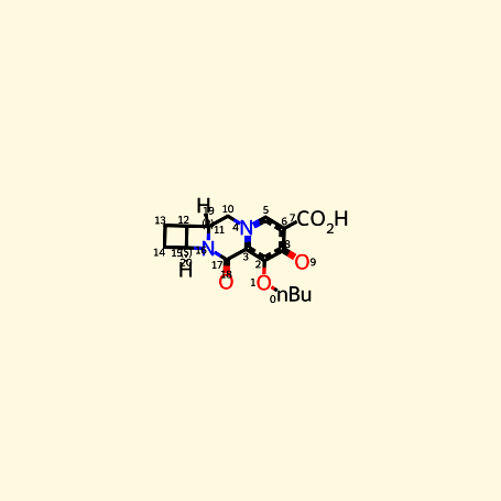 CCCCOc1c2n(cc(C(=O)O)c1=O)C[C@H]1C3CC[C@@H]3N1C2=O